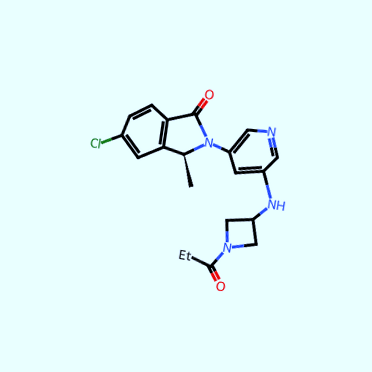 CCC(=O)N1CC(Nc2cncc(N3C(=O)c4ccc(Cl)cc4[C@@H]3C)c2)C1